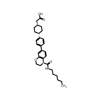 CCCCCCNC(=O)N1CCOc2cc(-c3ccc([C@H]4CC[C@H](CC(=O)O)CC4)cc3)ccc21